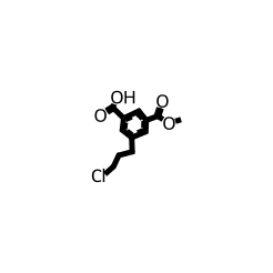 COC(=O)c1cc(CCCCl)cc(C(=O)O)c1